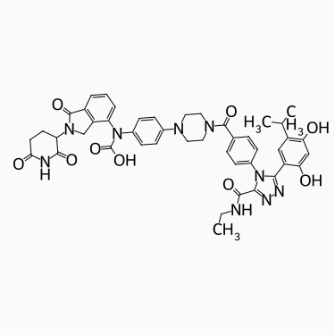 CCNC(=O)c1nnc(-c2cc(C(C)C)c(O)cc2O)n1-c1ccc(C(=O)N2CCN(c3ccc(N(C(=O)O)c4cccc5c4CN(C4CCC(=O)NC4=O)C5=O)cc3)CC2)cc1